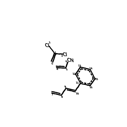 C=C(Cl)Cl.C=CC#N.C=CC=Cc1ccccc1